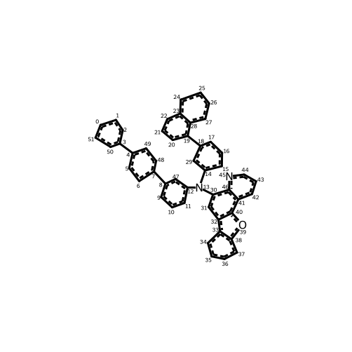 c1ccc(-c2ccc(-c3cccc(N(c4cccc(-c5cccc6ccccc56)c4)c4cc5c6ccccc6oc5c5cccnc45)c3)cc2)cc1